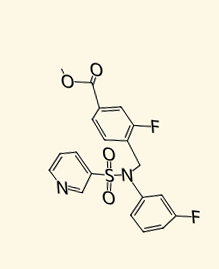 COC(=O)c1ccc(CN(c2cccc(F)c2)S(=O)(=O)c2cccnc2)c(F)c1